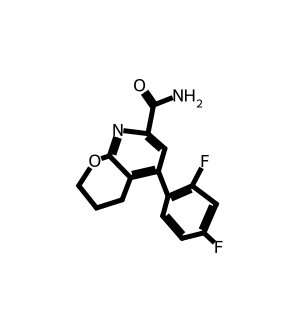 NC(=O)c1cc(-c2ccc(F)cc2F)c2c(n1)OCCC2